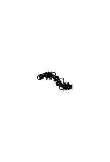 Cc1c(NC(=O)c2nc3c(n2C)CCN(C2CCOCC2)C3)cccc1-c1cccc(NC(=O)c2nc3c(n2C)CCN(C)C3)c1Cl